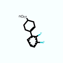 CCCCCCCCC1CC=C(c2cccc(F)c2F)CC1